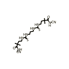 CC(C)(CCNC(=S)NCCCNC(=S)NCCC(C)(C)C(=O)NC#N)C(=O)NC#N